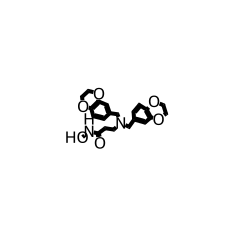 O=C(CCN(Cc1ccc2c(c1)OCCO2)Cc1ccc2c(c1)OCCO2)NO